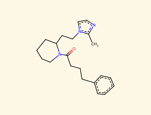 Cc1nccn1CCC1CCCCN1C(=O)CCCc1ccccc1